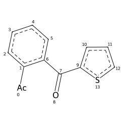 CC(=O)c1ccccc1C(=O)c1cccs1